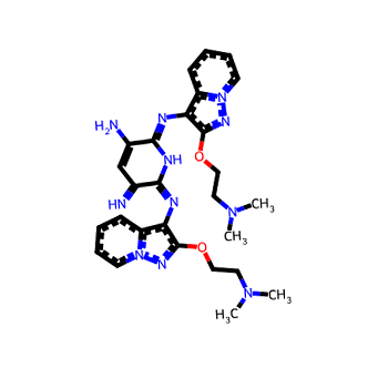 CN(C)CCOc1nn2ccccc2c1N=C1NC(=Nc2c(OCCN(C)C)nn3ccccc23)C(N)=CC1=N